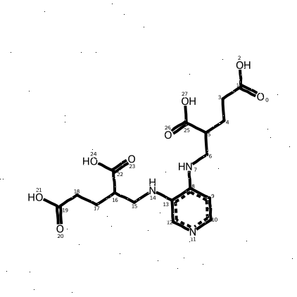 O=C(O)CCC(CNc1ccncc1NCC(CCC(=O)O)C(=O)O)C(=O)O